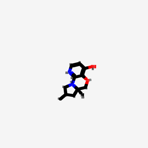 CC1C[C@H]2COc3c(O)ccnc3N2C1